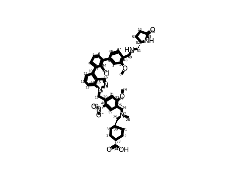 COc1cc(-c2cccc(-c3cccc4c3cnn4Cc3cc(OC)c(CN(C)C[C@H]4CC[C@H](C(=O)O)CC4)cc3[N+](=O)[O-])c2Cl)ccc1CNC[C@@H]1CCC(=O)N1